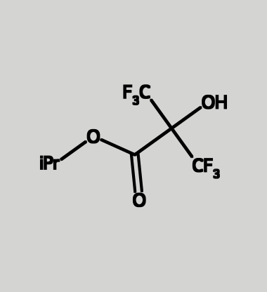 CC(C)OC(=O)C(O)(C(F)(F)F)C(F)(F)F